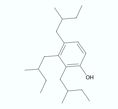 CCC(C)Cc1ccc(O)c(CC(C)CC)c1CC(C)CC